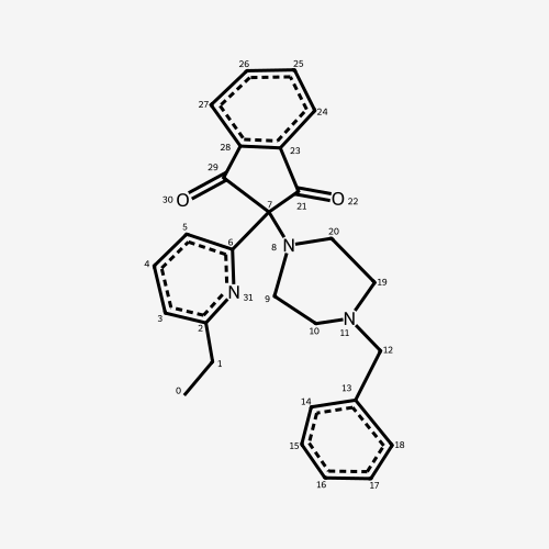 CCc1cccc(C2(N3CCN(Cc4ccccc4)CC3)C(=O)c3ccccc3C2=O)n1